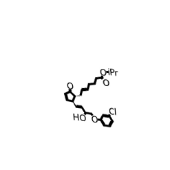 CC(C)OC(=O)CCCC=CC[C@H]1C(=O)C=C[C@@H]1C=CC(O)COc1cccc(Cl)c1